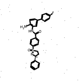 Nc1ccc(-c2ccc(F)cc2)cc1NC(=O)c1ccc(S2(=O)=N[C@H](c3cc#ccc3)CC2)cc1